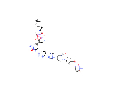 C[C@H]1CN([C@@H]2CCN3c4cc5c(cc4OC[C@@H]3C2)C(=O)N(C2CCC(=O)NC2=O)C5=O)CCN1c1ccc(Nc2cc(-c3ccnc(N4CCn5c(cc6c5CC(C)(C)C6)C4=O)c3CO)cn(C)c2=O)nc1